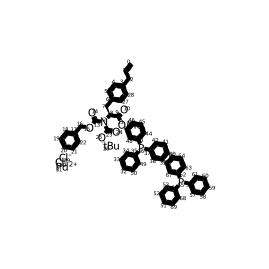 C=CCc1ccc(C[C@@H](C(=O)OC)N(C(=O)OCc2ccccc2)C(=O)OC(C)(C)C)cc1.[Cl-].[Cl-].[Pd+2].c1ccc(P(c2ccccc2)c2ccccc2)cc1.c1ccc(P(c2ccccc2)c2ccccc2)cc1